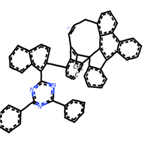 CC1=C2/C=C\Cc3cccc4c3c3c(c5ccccc54)-c4ccccc4C13c1cccc(-c3ccc4ccccc4c3-c3nc(-c4ccccc4)nc(-c4ccccc4)n3)c12